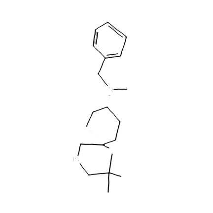 CN(Cc1ccccc1)[C@H]1CC[C@@]2(CC1)CNCC(C)(C)O2